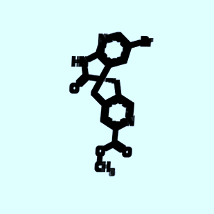 COC(=O)c1cc2c(cn1)C[C@]1(C2)C(=O)Nc2ncc(Br)cc21